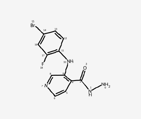 NNC(=O)c1ccncc1Nc1ccc(Br)cc1F